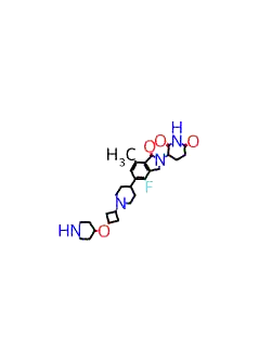 Cc1cc(C2CCN(C3CC(OC4CCNCC4)C3)CC2)c(F)c2c1C(=O)N(C1CCC(=O)NC1=O)C2